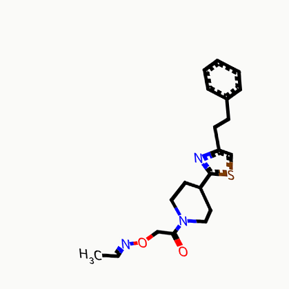 CC=NOCC(=O)N1CCC(c2nc(CCc3ccccc3)cs2)CC1